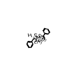 CP(C)(C)(Cc1ccccc1)OC(=O)c1ccccc1